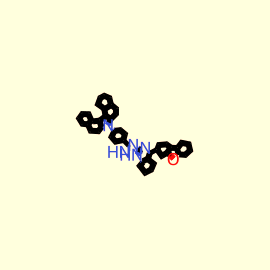 N=C(/N=c1/nc(-c2ccc3c(c2)oc2ccccc23)c2ccccc2[nH]1)c1ccc(-n2c3ccc4ccccc4c3c3c4ccccc4ccc32)cc1